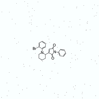 O=C1C=C(C2CCCCN2c2ccccc2Br)C(=O)N1c1ccccc1